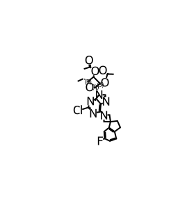 CC[C@H]1O[C@@H](n2cnc3c(N4CC5(CCc6ccc(F)cc65)C4)nc(Cl)nc32)[C@@H](OC(C)=O)C1OC(C)=O